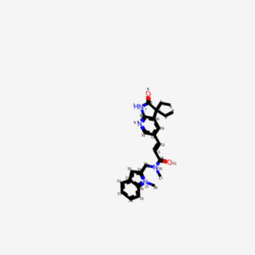 CCC1(CC)C(=O)Nc2ncc(C=CC(=O)N(C)Cc3cc4ccccc4n3C)cc21